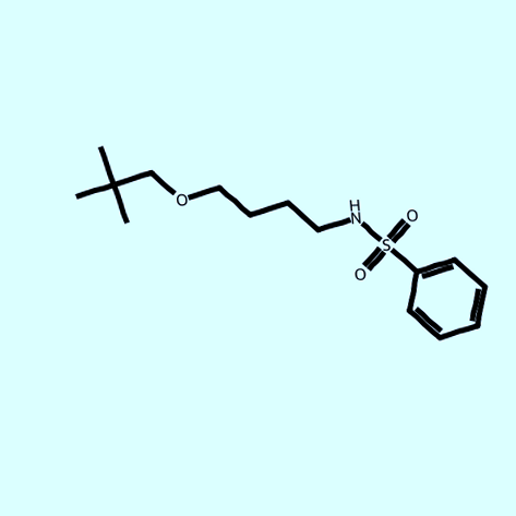 CC(C)(C)COCCCCNS(=O)(=O)c1ccccc1